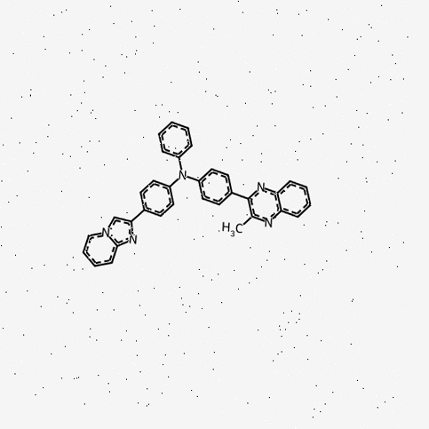 Cc1nc2ccccc2nc1-c1ccc(N(c2ccccc2)c2ccc(-c3cn4ccccc4n3)cc2)cc1